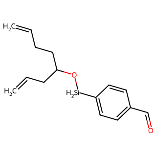 C=CCCC(CC=C)O[SiH2]c1ccc(C=O)cc1